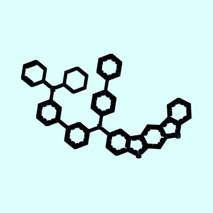 C1=CCC(N(c2cccc(-c3cccc(N(c4ccc(-c5ccccc5)cc4)c4ccc5oc6cc7oc8ccccc8c7cc6c5c4)c3)c2)C2CCCCC2)C=C1